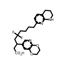 O=C(O)CC(CC(F)(F)CCCCc1ccc2c(n1)NCCC2)c1cnc2c(c1)OCCO2